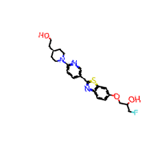 OCCC1CCN(c2ccc(-c3nc4ccc(OCC(O)CF)cc4s3)cn2)CC1